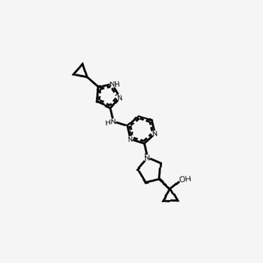 OC1(C2CCN(c3nccc(Nc4cc(C5CC5)[nH]n4)n3)C2)CC1